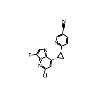 N#Cc1ccc([C@H]2C[C@@H]2c2cc(Cl)nn3c(F)cnc23)nc1